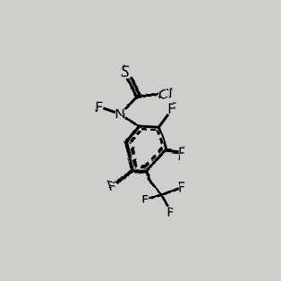 Fc1cc(N(F)C(=S)Cl)c(F)c(F)c1C(F)(F)F